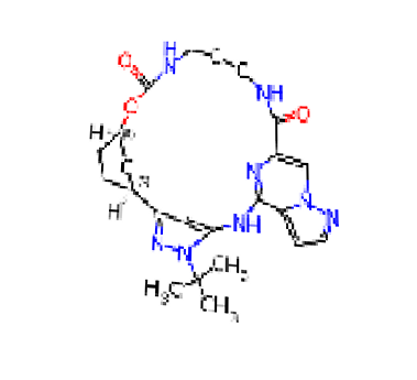 CC(C)(C)n1nc2cc1Nc1nc(cn3nccc13)C(=O)NCCCNC(=O)O[C@@H]1CC[C@H]2C1